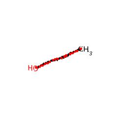 CCCCCCCCCCCCCCCCCCCCCCCCCCCCCCCCCCCCCCCO